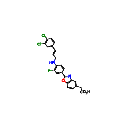 O=C(O)Cc1ccc2oc(-c3ccc(NCC=Cc4ccc(Cl)c(Cl)c4)c(F)c3)nc2c1